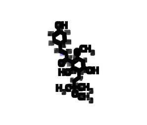 COc1cc(O)c(CCC(C)(C)OC)c(O)c1C(=O)/C=C/c1ccc(O)cc1